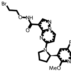 COc1ncc(F)cc1[C@H]1CCCN1c1ccn2ncc(C(=O)NOCCBr)c2n1